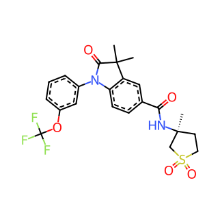 CC1(C)C(=O)N(c2cccc(OC(F)(F)F)c2)c2ccc(C(=O)N[C@@]3(C)CCS(=O)(=O)C3)cc21